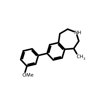 COc1cccc(-c2ccc3c(c2)CCNCC3C)c1